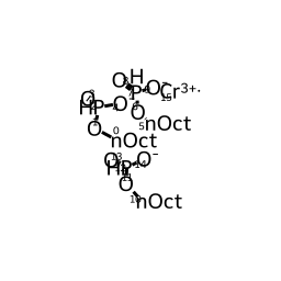 CCCCCCCCO[PH](=O)[O-].CCCCCCCCO[PH](=O)[O-].CCCCCCCCO[PH](=O)[O-].[Cr+3]